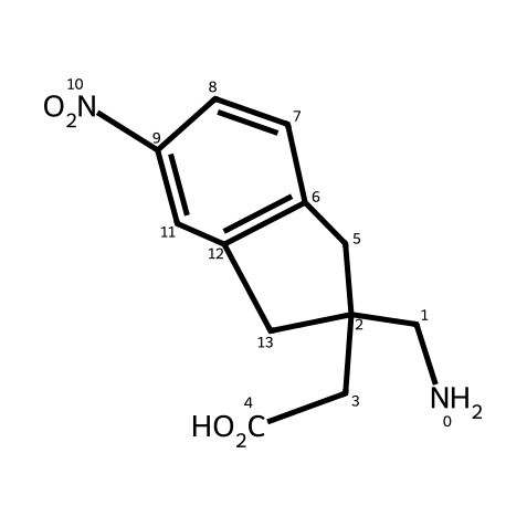 NCC1(CC(=O)O)Cc2ccc([N+](=O)[O-])cc2C1